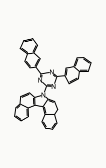 C1=CC2=c3c(n(-c4nc(-c5ccc6ccccc6c5)nc(-c5ccc6ccccc6c5)n4)c4ccc5ccccc5c34)=CCC2C=C1